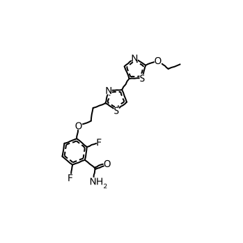 CCOc1ncc(-c2csc(CCOc3ccc(F)c(C(N)=O)c3F)n2)s1